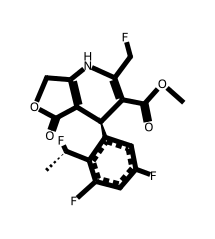 COC(=O)C1=C(CF)NC2=C(C(=O)OC2)[C@@H]1c1cc(F)cc(F)c1[C@H](C)F